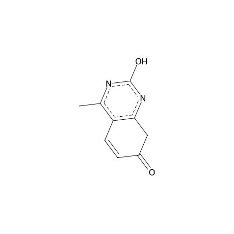 Cc1nc(O)nc2c1C=CC(=O)C2